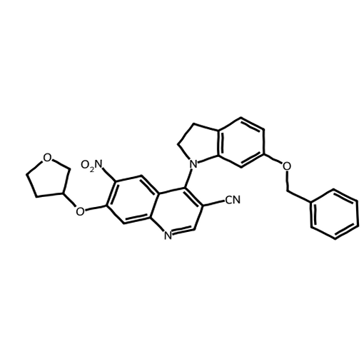 N#Cc1cnc2cc(OC3CCOC3)c([N+](=O)[O-])cc2c1N1CCc2ccc(OCc3ccccc3)cc21